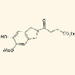 CCOC(=O)CCC(=O)N1Cc2cc(O)c(OC)cc2C1